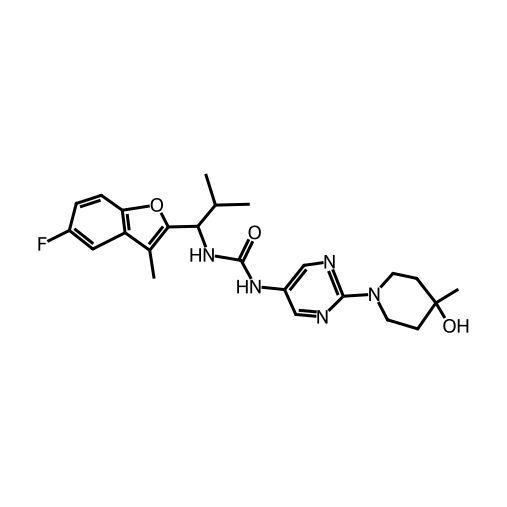 Cc1c(C(NC(=O)Nc2cnc(N3CCC(C)(O)CC3)nc2)C(C)C)oc2ccc(F)cc12